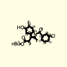 CCCCOC(=O)[C@H](C)c1c(C)n(C(=O)c2cccc(Cl)c2)c2cc(F)c(O)cc12